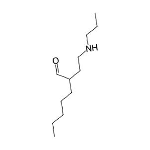 CCCCCC(C=O)CCNCCC